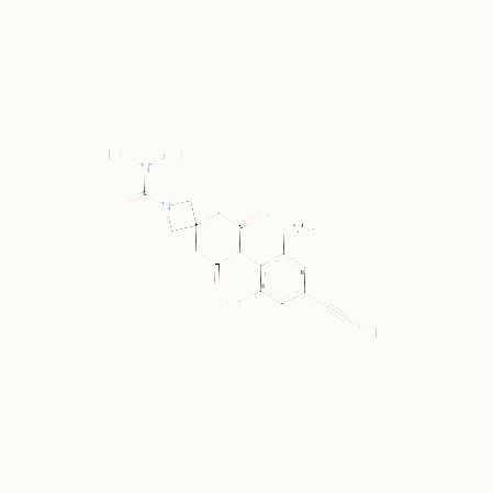 CC#Cc1cc(Cl)c(C2C(=O)CC3(CC2=O)CN(C(=O)N(C)C)C3)c(OC)c1